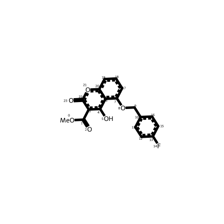 COC(=O)c1c(O)c2c(OCc3ccc(F)cc3)cccc2oc1=O